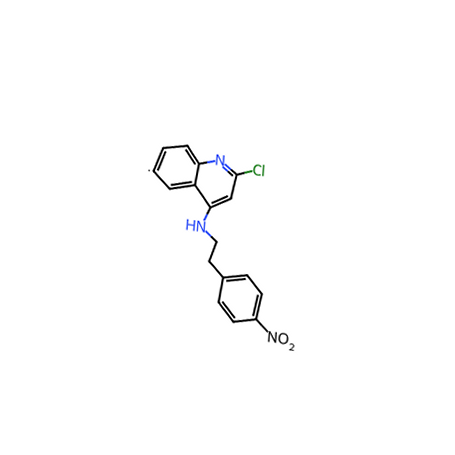 O=[N+]([O-])c1ccc(CCNc2cc(Cl)nc3cc[c]cc23)cc1